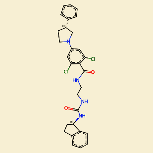 O=C(NCCNC(=O)c1c(Cl)cc(N2CC[C@H](c3ccccc3)C2)cc1Cl)N[C@@H]1CCc2ccccc21